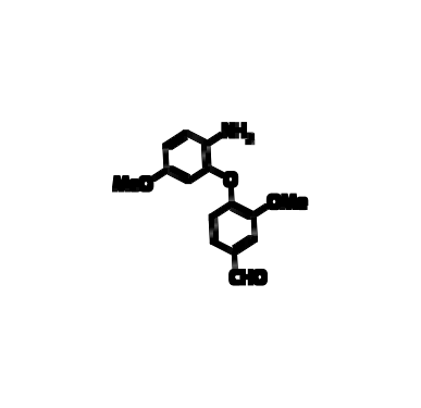 COc1ccc(N)c(Oc2ccc(C=O)cc2OC)c1